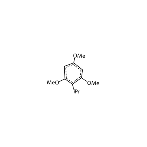 COc1cc(OC)c(C(C)C)c(OC)c1